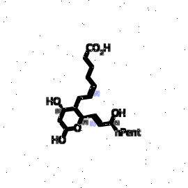 CCCCC[C@H](O)/C=C/[C@H]1OC(O)C[C@H](O)C1C/C=C\CCCC(=O)O